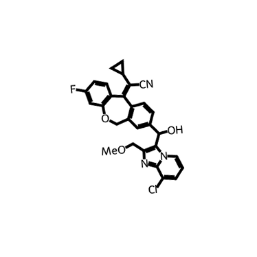 COCc1nc2c(Cl)cccn2c1C(O)c1ccc2c(c1)COc1cc(F)ccc1C2=C(C#N)C1CC1